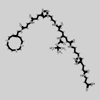 CC(C)(C)OC(=O)NC(CCC(=O)NCCCn1cc(CCC(=O)NCCC(=O)S)nn1)CCC(=O)NCCCn1cc(CCC(=O)NCCC(=O)SC/C2=C/CCCCCCCCCC2)nn1